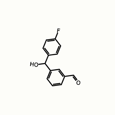 O=Cc1cccc(C(O)c2ccc(F)cc2)c1